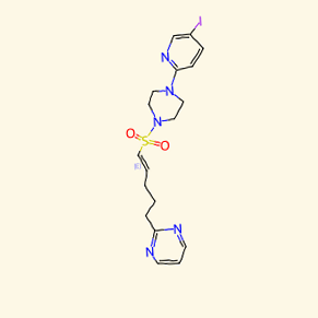 O=S(=O)(/C=C/CCCc1ncccn1)N1CCN(c2ccc(I)cn2)CC1